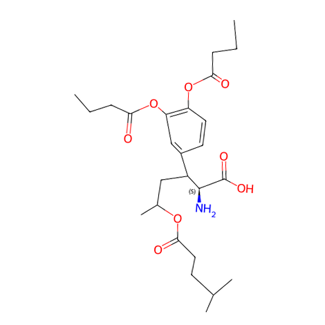 CCCC(=O)Oc1ccc(C(CC(C)OC(=O)CCC(C)C)[C@H](N)C(=O)O)cc1OC(=O)CCC